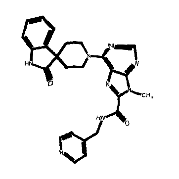 Cn1c(C(=O)NCc2ccncc2)nc2c(N3CCC4(CC3)C(=O)Nc3ccccc34)ncnc21